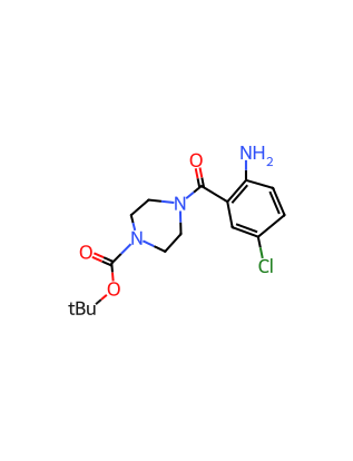 CC(C)(C)OC(=O)N1CCN(C(=O)c2cc(Cl)ccc2N)CC1